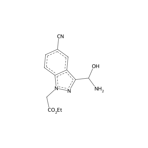 CCOC(=O)Cn1nc(C(N)O)c2cc(C#N)ccc21